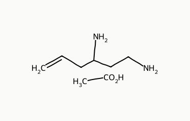 C=CCC(N)CCN.CC(=O)O